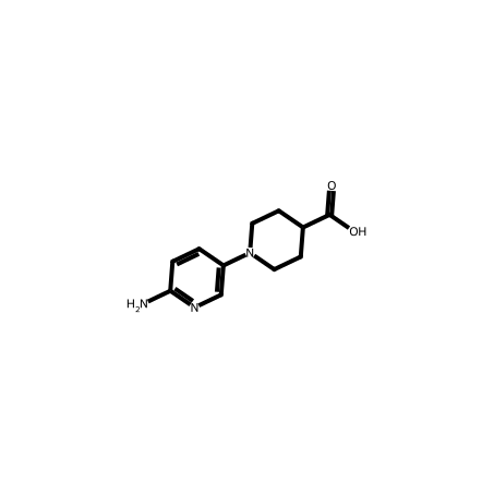 Nc1ccc(N2CCC(C(=O)O)CC2)cn1